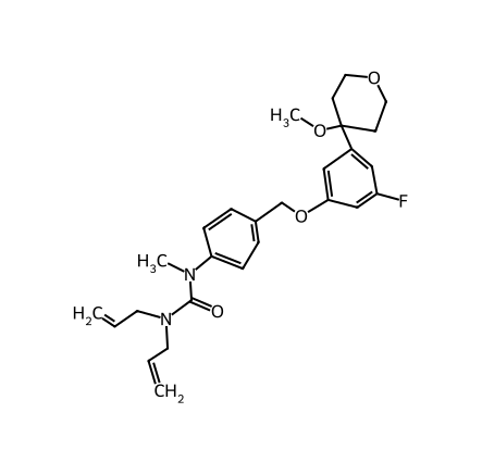 C=CCN(CC=C)C(=O)N(C)c1ccc(COc2cc(F)cc(C3(OC)CCOCC3)c2)cc1